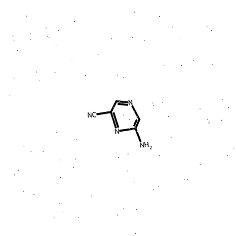 N#Cc1cncc(N)n1